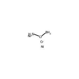 [BH2][Cr][SiH3].[Cr].[Ni].[Ni]